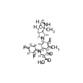 CNC(C)(C)C1CCN(c2cc3c(c(C)c2F)c(=O)c(C(=O)O)cn3-c2ccc(F)cc2F)C1